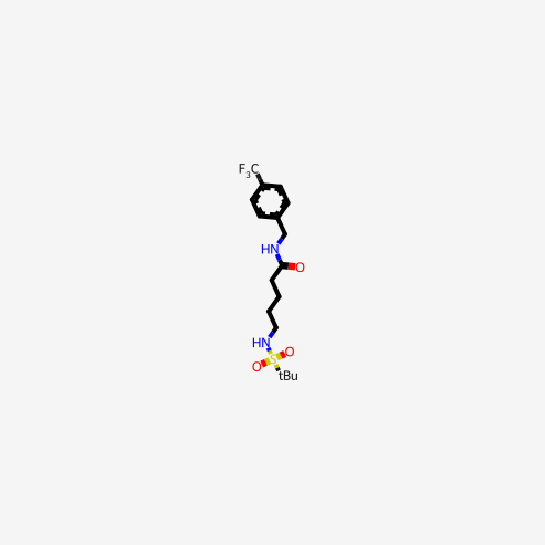 CC(C)(C)S(=O)(=O)NCCCCC(=O)NCc1ccc(C(F)(F)F)cc1